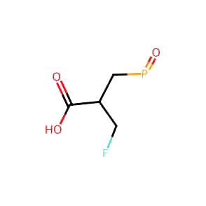 O=PCC(CF)C(=O)O